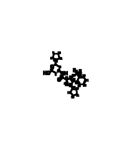 O=C(O)C[C@H](CCN1CCCC1)NC(=O)c1cc(-c2ccccc2C(F)(F)F)n(C2CCCC2)n1